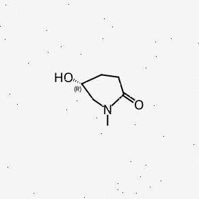 CN1C[C@H](O)CCC1=O